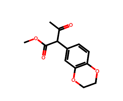 COC(=O)C(C(C)=O)c1ccc2c(c1)OCCO2